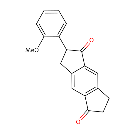 COc1ccccc1C1Cc2cc3c(cc2C1=O)CCC3=O